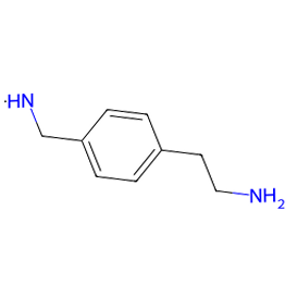 [NH]Cc1ccc(CCN)cc1